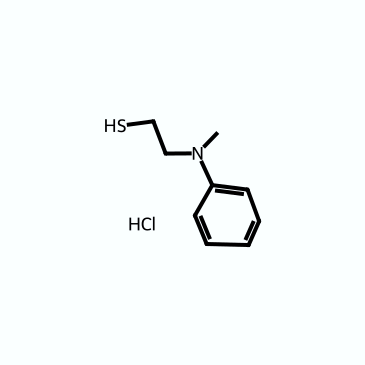 CN(CCS)c1ccccc1.Cl